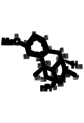 CCCNC1[C@H]2Cc3ccc(OC)cc3[C@@]1(C)CCN2C